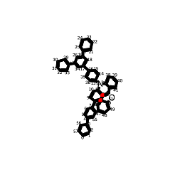 c1ccc(-c2ccc(-c3ccc(N(c4ccc(-c5cc(-c6ccccc6)cc(-c6ccccc6)c5)cc4)c4ccccc4-c4cc5ccccc5o4)cc3)cc2)cc1